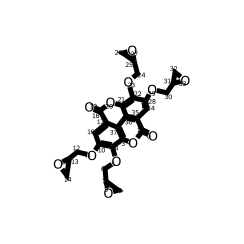 O=c1oc2c(OCC3CO3)c(OCC3CO3)cc3c(=O)oc4c(OCC5CO5)c(OCC5CO5)cc1c4c23